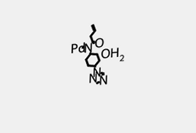 C=CCC(=O)[N]([Pd])C1CCC(n2cncn2)CC1.O